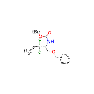 C=CC(F)(F)C(COCc1ccccc1)NC(=O)OC(C)(C)C